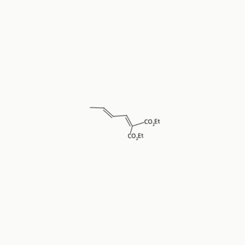 C/C=C/C=C(C(=O)OCC)C(=O)OCC